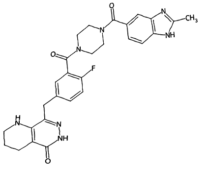 Cc1nc2cc(C(=O)N3CCN(C(=O)c4cc(Cc5n[nH]c(=O)c6c5NCCC6)ccc4F)CC3)ccc2[nH]1